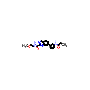 C=CC(=O)Nc1cccc(-c2ccc3cnc(C(=O)NCCOC)nc3c2)c1